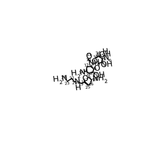 CN[C@@H]1[C@@H](O)[C@@H](O[C@H]2[C@H](NC=O)C[C@H](N)C([C@H]3OC(CNCCCN)=CC[C@H]3N)[C@@H]2O)OC[C@]1(C)O